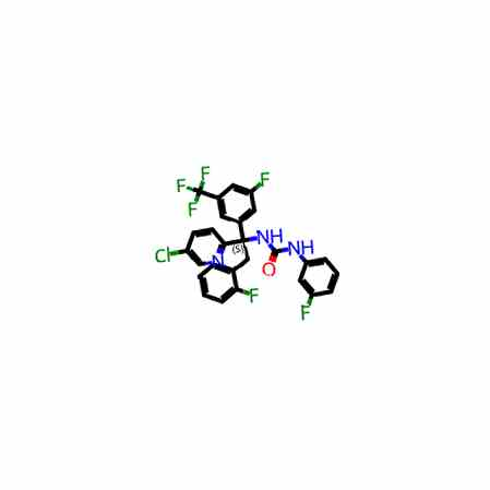 O=C(Nc1cccc(F)c1)N[C@@](Cc1ccccc1F)(c1cc(F)cc(C(F)(F)F)c1)c1ccc(Cl)cn1